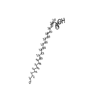 CCCCCCCCCCCCCCCCCCCCCCC/C=C\C(=O)O